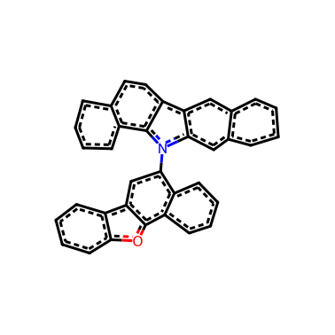 c1ccc2cc3c(cc2c1)c1ccc2ccccc2c1n3-c1cc2c3ccccc3oc2c2ccccc12